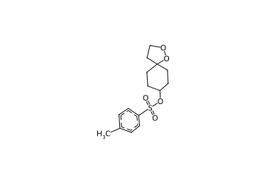 Cc1ccc(S(=O)(=O)OC2CCC3(CCOO3)CC2)cc1